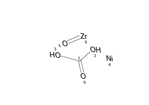 O=C(O)O.[Ni].[O]=[Zr]